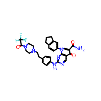 NC(=O)c1cn(-c2ccc3c(c2)CCC3)c2nc(Nc3ccc(CCN4CCN(C(=O)C(F)(F)F)CC4)cc3)ncc2c1=O